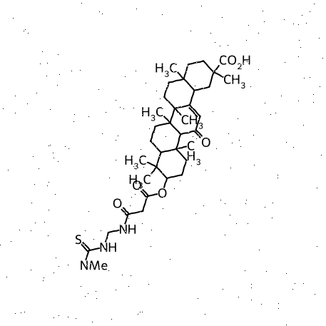 CNC(=S)NCNC(=O)CC(=O)OC1CCC2(C)C(CCC3(C)C2C(=O)C=C2C4CC(C)(C(=O)O)CCC4(C)CCC23C)C1(C)C